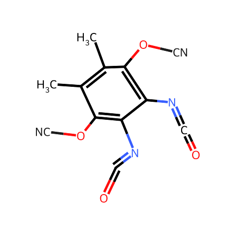 Cc1c(C)c(OC#N)c(N=C=O)c(N=C=O)c1OC#N